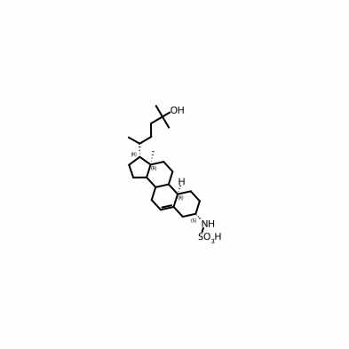 CC(CCC(C)(C)O)[C@H]1CCC2C3CC=C4C[C@@H](NS(=O)(=O)O)CC[C@@H]4C3CC[C@@]21C